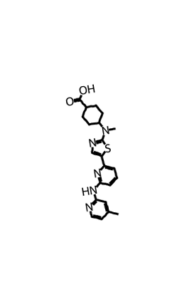 Cc1ccnc(Nc2cccc(-c3cnc(N(C)C4CCC(C(=O)O)CC4)s3)n2)c1